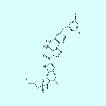 Cc1cc(Oc2cc(F)cc(F)c2)ncc1-n1ncc(C(=O)c2cc3cc(F)c(NS(=O)(=O)CCCF)cc3[nH]2)c1N